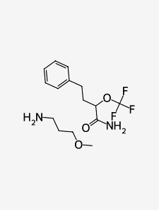 COCCCN.NC(=O)C(CCc1ccccc1)OC(F)(F)F